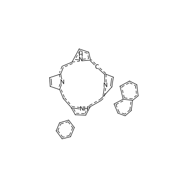 C1=Cc2cc3ccc(cc4nc(cc5ccc(cc1n2)[nH]5)C=C4)[nH]3.c1ccc2ccccc2c1.c1ccccc1